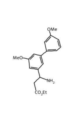 CCOC(=O)CC(N)c1cc(OC)cc(-c2cccc(OC)c2)c1